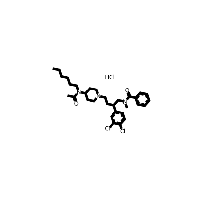 CCCCCCN(C(C)=O)C1CCN(CCC(CN(C)C(=O)c2ccccc2)c2ccc(Cl)c(Cl)c2)CC1.Cl